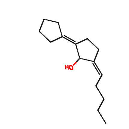 CCCC/C=C1/CCC(=C2CCCC2)C1O